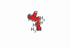 COC(=O)[C@H](CCNC(=O)C(=O)Nc1ccc(-c2nncn2C)cc1)NC(=O)c1ccc(Nc2nc(NC3(c4ccc(Cl)cc4)CC3)nc(OCC(F)(F)F)n2)cc1